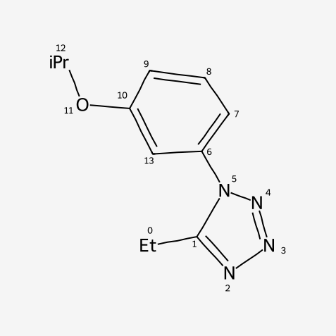 CCc1nnnn1-c1cccc(OC(C)C)c1